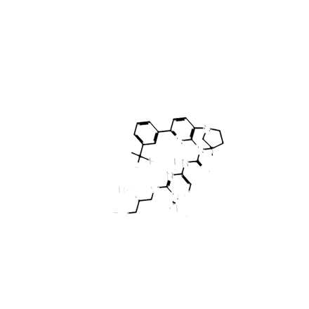 C=N/C(=N\C(=C/C)NC(=O)N1c2nc(-c3cccc(C(F)(F)F)c3)ccc2N2CC[C@H]1C2)OC[C@H](O)CO